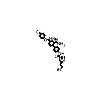 CC(C)CCC(F)CNC(=O)Nc1ccc(-c2ccc(COc3ccc(Cl)cc3)c3[nH]nc(N)c23)cc1